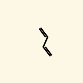 C=[C]C=C